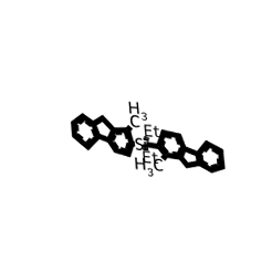 CC[Si](CC)(c1ccc2c(c1C)Cc1ccccc1-2)c1ccc2c(c1C)Cc1ccccc1-2